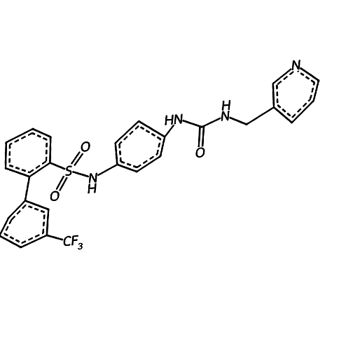 O=C(NCc1cccnc1)Nc1ccc(NS(=O)(=O)c2ccccc2-c2cccc(C(F)(F)F)c2)cc1